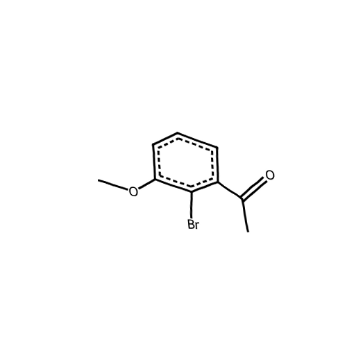 COc1cccc(C(C)=O)c1Br